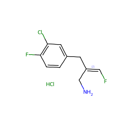 Cl.NC/C(=C\F)Cc1ccc(F)c(Cl)c1